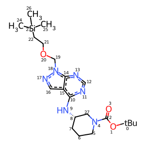 CC(C)(C)OC(=O)N1CCC[C@H](Nc2ncnc3c2cnn3COCC[Si](C)(C)C)C1